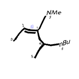 C/C=C(/NC)C(C)CCCC